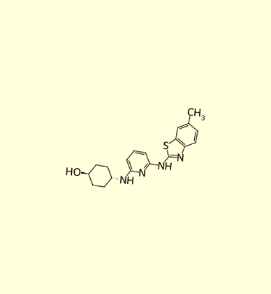 Cc1ccc2nc(Nc3cccc(N[C@H]4CC[C@H](O)CC4)n3)sc2c1